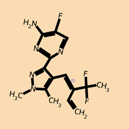 C=C/C(=C\c1c(-c2ncc(F)c(N)n2)nn(C)c1C)C(C)(F)F